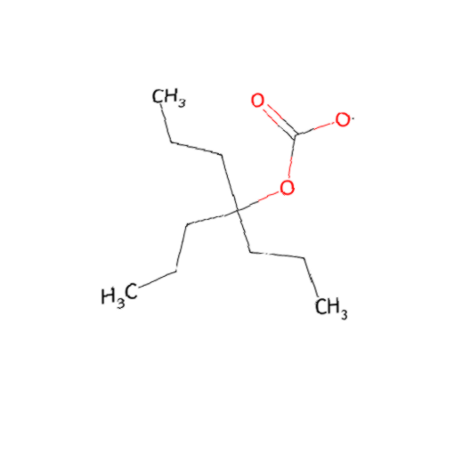 CCCC(CCC)(CCC)OC([O])=O